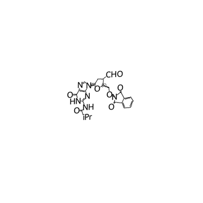 CC(C)C(=O)Nc1nc2c(ncn2[C@H]2CC(C=O)[C@@H](CON3C(=O)c4ccccc4C3=O)O2)c(=O)[nH]1